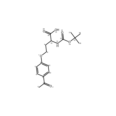 CC(=O)c1ccc(OCCC(NC(=O)OC(C)(C)C)C(=O)O)cc1